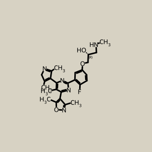 CNC[C@@H](O)COc1ccc(F)c(-c2nc(C3=C(C)CN=C3C)c(C)c(-c3c(C)noc3C)n2)c1